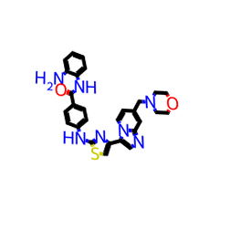 Nc1ccccc1NC(=O)c1ccc(Nc2nc(-c3cnc4cc(CN5CCOCC5)ccn34)cs2)cc1